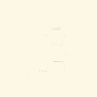 COCOC(C)Cc1ccc(Br)cn1